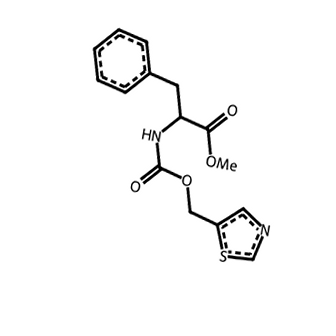 COC(=O)C(Cc1ccccc1)NC(=O)OCc1cncs1